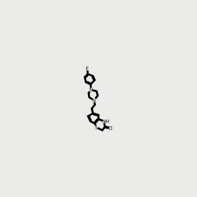 O=C1CSc2ccc(CCN3CCN(c4ccc(F)cc4)CC3)cc2N1